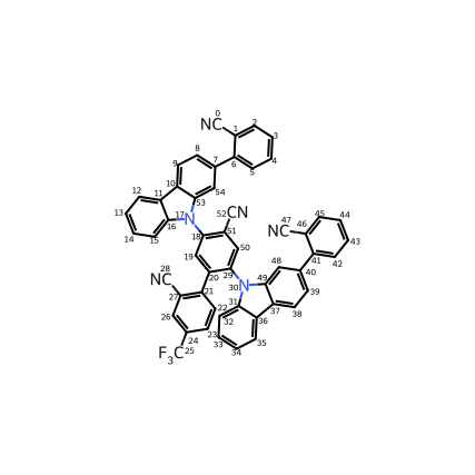 N#Cc1ccccc1-c1ccc2c3ccccc3n(-c3cc(-c4ccc(C(F)(F)F)cc4C#N)c(-n4c5ccccc5c5ccc(-c6ccccc6C#N)cc54)cc3C#N)c2c1